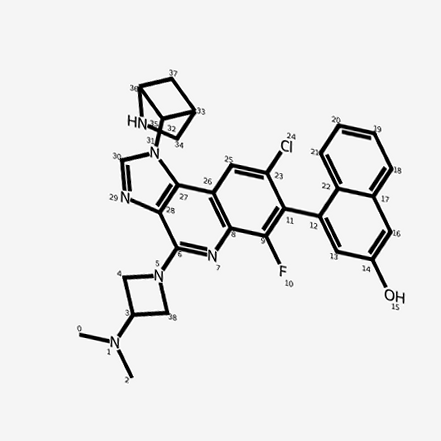 CN(C)C1CN(c2nc3c(F)c(-c4cc(O)cc5ccccc45)c(Cl)cc3c3c2ncn3C2C3CNC2C3)C1